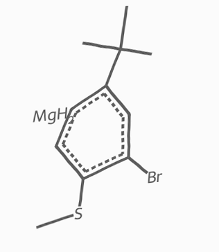 CSc1ccc(C(C)(C)C)cc1Br.[MgH2]